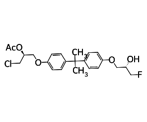 CC(=O)O[C@H](CCl)COc1ccc(C(C)(C)c2ccc(OC[C@H](O)CF)cc2)cc1